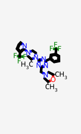 C[C@@H]1CN(Cc2nc(-c3cccc(C(F)(F)F)c3)nc(N3CCN(c4ncccc4C(F)(F)F)C[C@H]3C)n2)C[C@H](C)O1